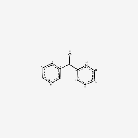 [O]C(c1ccccc1)c1ccccn1